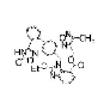 CCOc1nc2cccc(C(=O)OCc3nonc3C)c2n1Cc1ccc(-c2ccccc2-c2noc(=O)[nH]2)cc1